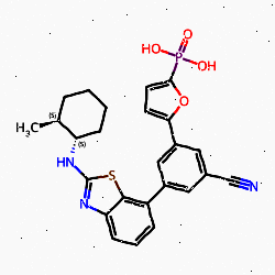 C[C@H]1CCCC[C@@H]1Nc1nc2cccc(-c3cc(C#N)cc(-c4ccc(P(=O)(O)O)o4)c3)c2s1